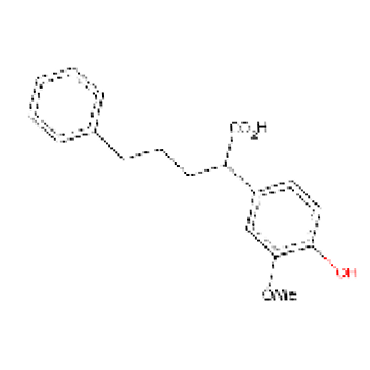 COc1cc(C(CCCc2ccccc2)C(=O)O)ccc1O